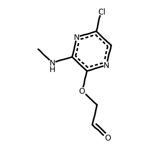 CNc1nc(Cl)cnc1OCC=O